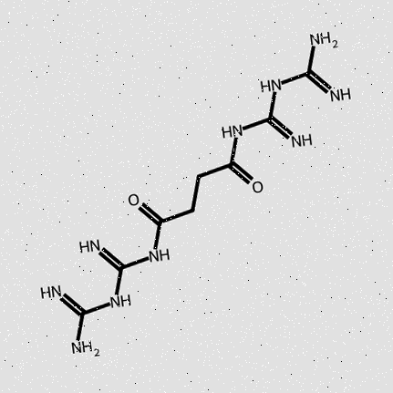 N=C(N)NC(=N)NC(=O)CCC(=O)NC(=N)NC(=N)N